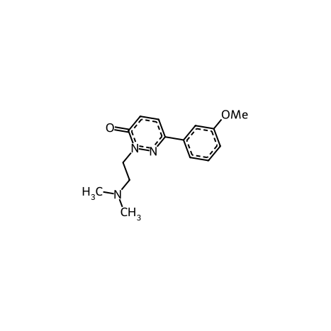 COc1cccc(-c2ccc(=O)n(CCN(C)C)n2)c1